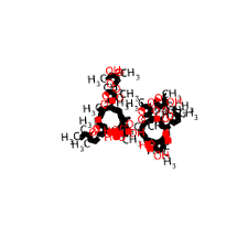 CC[C@H](C)[C@H]1O[C@]2(CC[C@@H]1C)C[C@@H]1C[C@@H](C/C=C(\C)[C@@H](O[C@H]3C[C@H](OC)[C@@H](O[C@H]4C[C@H](OC)[C@@H](O)[C@H](C)O4)[C@H](C)O3)[C@@H](C)/C=C/C=C3\CO[C@@H]4[C@H](O)C(C)=C[C@@H](C(=O)O1)[C@]34OP(=O)(O)O)O2.CO[C@H]1C[C@H](O[C@H]2[C@H](C)O[C@@H](O[C@@H]3/C(C)=C/C[C@@H]4C[C@@H](C[C@]5(CC[C@H](C)[C@@H](C(C)C)O5)O4)OC(=O)[C@@H]4C=C(C)[C@@H](O)[C@H]5OC/C(=C\C=C\[C@@H]3C)[C@]54O)C[C@@H]2OC)O[C@@H](C)[C@@H]1O